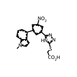 Cn1ccc2c(-c3cc(-c4nnc(SCC(=O)O)[nH]4)cc([N+](=O)[O-])c3)cccc21